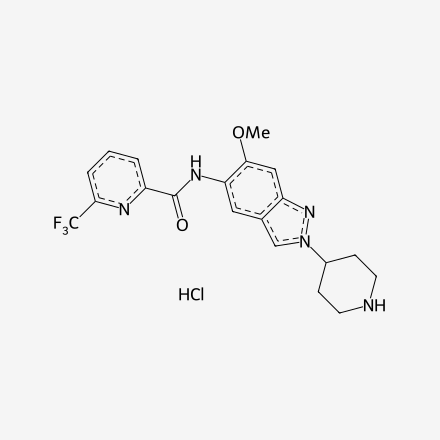 COc1cc2nn(C3CCNCC3)cc2cc1NC(=O)c1cccc(C(F)(F)F)n1.Cl